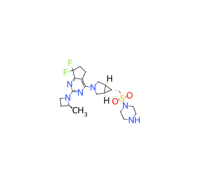 C[C@H]1CCN1c1nc(N2C[C@@H]3[C@H](C2)[C@H]3CS(=O)(=O)N2CCNCC2)c2c(n1)C(F)(F)CC2